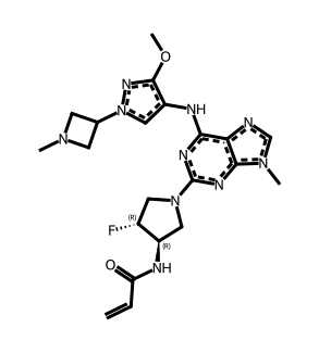 C=CC(=O)N[C@@H]1CN(c2nc(Nc3cn(C4CN(C)C4)nc3OC)c3ncn(C)c3n2)C[C@H]1F